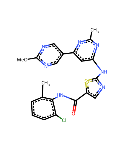 COc1ncc(-c2cc(Nc3ncc(C(=O)Nc4c(C)cccc4Cl)s3)nc(C)n2)cn1